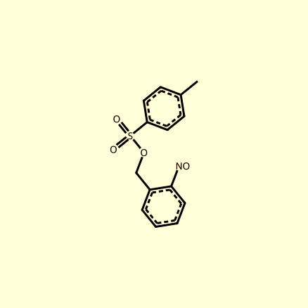 Cc1ccc(S(=O)(=O)OCc2ccccc2N=O)cc1